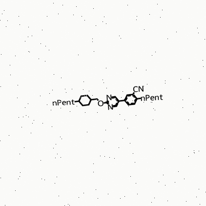 CCCCCc1ccc(-c2cnc(OCC3CCC(CCCCC)CC3)nc2)cc1C#N